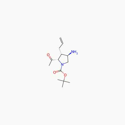 C=CC[C@H]1[C@@H](C(C)=O)N(C(=O)OC(C)(C)C)C[C@@H]1N